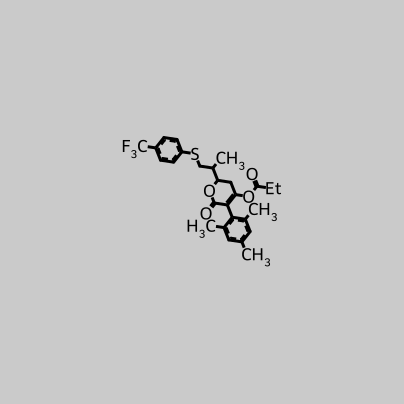 CCC(=O)OC1=C(c2c(C)cc(C)cc2C)C(=O)OC(C(C)CSc2ccc(C(F)(F)F)cc2)C1